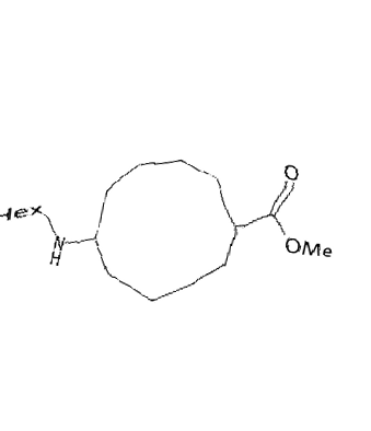 CCCCCCNC1CCCCC(C(=O)OC)CCCC1